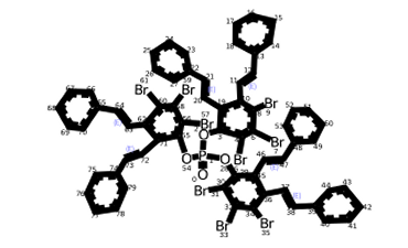 O=P(Oc1c(Br)c(Br)c(Br)c(/C=C/c2ccccc2)c1/C=C/c1ccccc1)(Oc1c(Br)c(Br)c(Br)c(/C=C/c2ccccc2)c1/C=C/c1ccccc1)Oc1c(Br)c(Br)c(Br)c(/C=C/c2ccccc2)c1/C=C/c1ccccc1